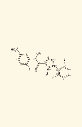 Cc1ccc(C(=O)O)cc1N(C(=O)n1nnn(-c2c(F)cccc2F)c1=O)C(C)C